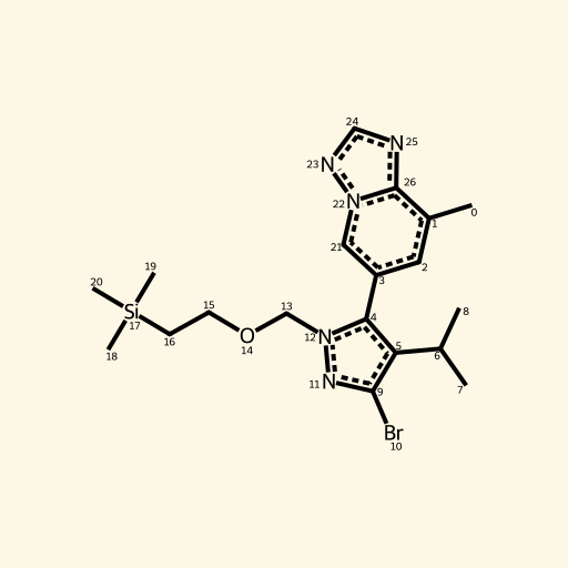 Cc1cc(-c2c(C(C)C)c(Br)nn2COCC[Si](C)(C)C)cn2ncnc12